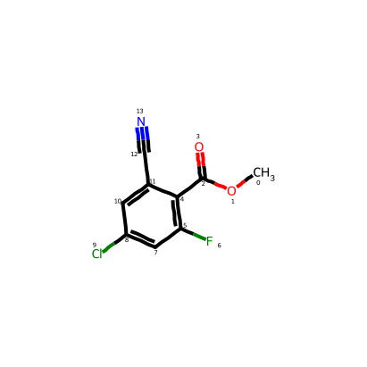 COC(=O)c1c(F)cc(Cl)cc1C#N